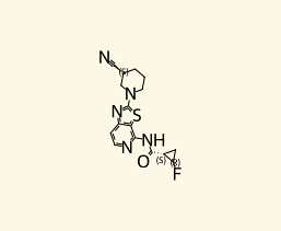 N#C[C@H]1CCCN(c2nc3ccnc(NC(=O)[C@@H]4C[C@H]4F)c3s2)C1